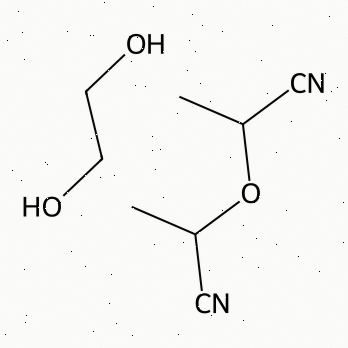 CC(C#N)OC(C)C#N.OCCO